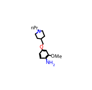 CCCN1CCC(COc2ccc(N)c(OC)c2)CC1